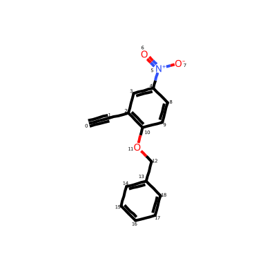 C#Cc1cc([N+](=O)[O-])ccc1OCc1ccccc1